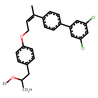 CCOC(Cc1ccc(OCC=C(C)c2ccc(-c3cc(Cl)cc(Cl)c3)cc2)cc1)C(=O)O